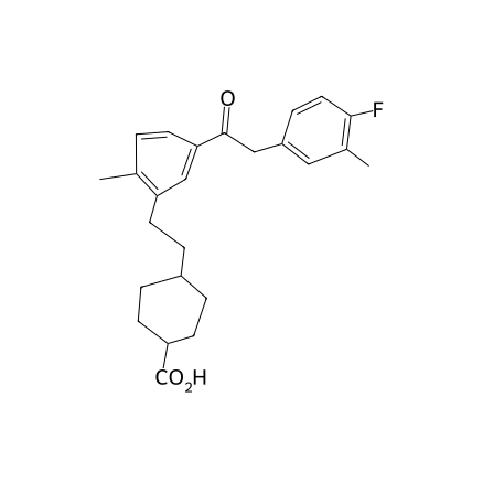 Cc1cc(CC(=O)c2ccc(C)c(CCC3CCC(C(=O)O)CC3)c2)ccc1F